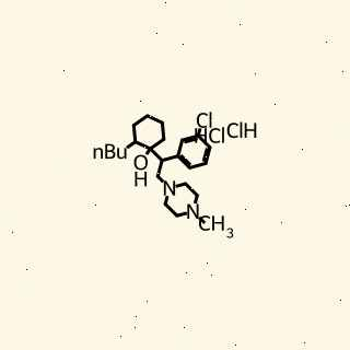 CCCCC1CCCCC1(O)C(CN1CCN(C)CC1)c1cccc(Cl)c1.Cl.Cl